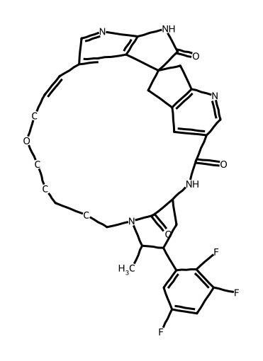 CC1C(c2cc(F)cc(F)c2F)CC2NC(=O)c3cnc4c(c3)CC3(C4)C(=O)Nc4ncc(cc43)C=CCOCCCCCN1C2=O